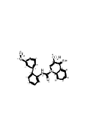 O=C(O)c1cn(C(=O)Nc2ccccc2-c2cccc(OC(F)(F)F)c2)c2ccccc2c1=O